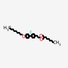 CCCCCCCCCOc1ccc(-c2ccc(CCC3OCC(CCCCCCC)CO3)cc2F)cc1